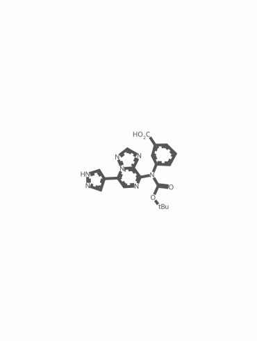 CC(C)(C)OC(=O)N(c1cccc(C(=O)O)c1)c1ncc(-c2cn[nH]c2)n2ncnc12